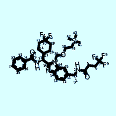 C[C@@H](NC(=O)CCC(F)(F)F)c1ccc2nc([C@@H](NC(=O)c3ccccc3)C3CCC(F)(F)CC3)n(COCC[Si](C)(C)C)c2c1